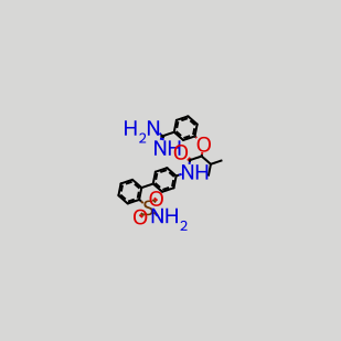 CC(C)C(Oc1cccc(C(=N)N)c1)C(=O)Nc1ccc(-c2ccccc2S(N)(=O)=O)cc1